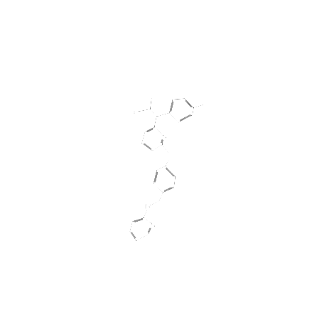 CC(C)(C)C(C(=O)O)C(c1ccc(F)cc1)c1cccc(Oc2ccc(CNc3ccccn3)cc2)n1